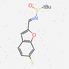 CC(C)(C)[S+]([O-])/N=C/c1cc2ccc(F)cc2o1